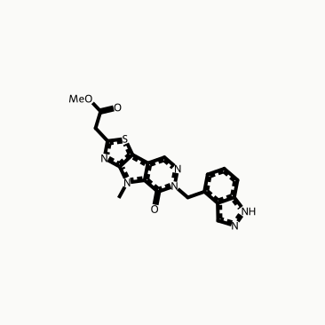 COC(=O)Cc1nc2c(s1)c1cnn(Cc3cccc4[nH]ncc34)c(=O)c1n2C